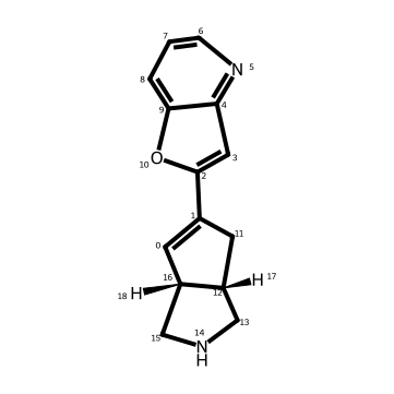 C1=C(c2cc3ncccc3o2)C[C@@H]2CNC[C@H]12